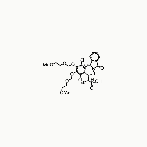 CCC(C(ON1C(=O)c2ccccc2C1=O)c1cc(Cl)c(OCOCCOC)c(OCOCCOC)c1Cl)[PH](=O)O